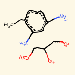 Cc1ccc(N)cc1N.OCC(O)CO